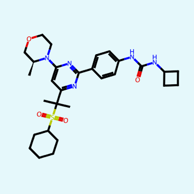 C[C@H]1COCCN1c1cc(C(C)(C)S(=O)(=O)C2CCCCC2)nc(-c2ccc(NC(=O)NC3CCC3)cc2)n1